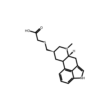 CN1C[C@H](CSCC(=O)O)CC2c3cccc4[nH]cc(c34)C[C@H]21